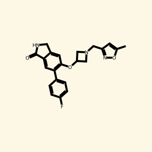 Cc1cc(CN2CC(Oc3cc4c(cc3-c3ccc(F)cc3)C(=O)NC4)C2)no1